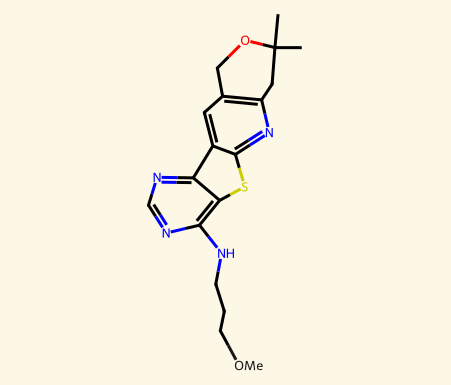 COCCCNc1ncnc2c1sc1nc3c(cc12)COC(C)(C)C3